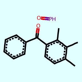 Cc1ccc(C(=O)c2ccccc2)c(C)c1C.O=P